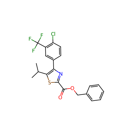 CC(C)c1sc(C(=O)OCc2ccccc2)nc1-c1ccc(Cl)c(C(F)(F)F)c1